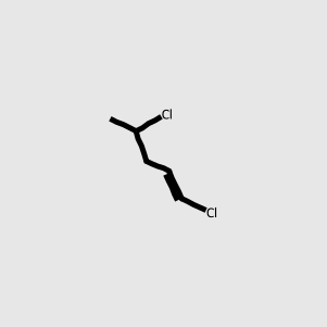 CC(Cl)CC=CCl